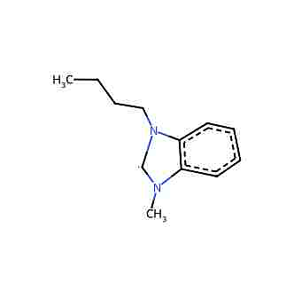 CCCCN1[CH]N(C)c2ccccc21